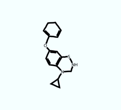 C1=CC(Oc2ccc3c(c2)SNCN3C2CC2)=CCC1